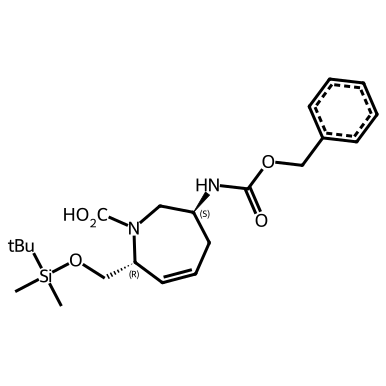 CC(C)(C)[Si](C)(C)OC[C@H]1C=CC[C@H](NC(=O)OCc2ccccc2)CN1C(=O)O